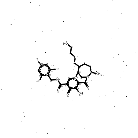 CC1CCC(COCCO)C2CN1C(=O)c1c(O)c(=O)c(C(=O)NCc3c(F)cc(F)cc3F)cn12